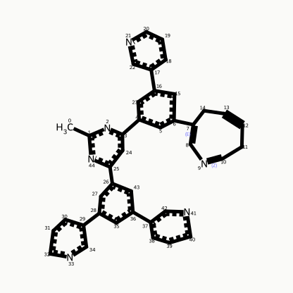 Cc1nc(-c2cc(/C3=C/N=C\CC#CC3)cc(-c3cccnc3)c2)cc(-c2cc(-c3cccnc3)cc(-c3cccnc3)c2)n1